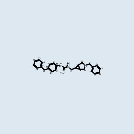 O=C(NCC1C2CN(Cc3ccccc3)CC12)Oc1ccc(Cc2ccccc2)cc1